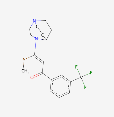 CS/C(=C\C(=O)c1cccc(C(F)(F)F)c1)N1CCN2CCC1CC2